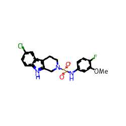 COc1cc(NS(=O)(=O)N2CCc3c([nH]c4ccc(Cl)cc34)C2)ccc1F